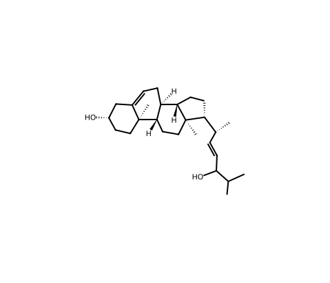 CC(C)C(O)C=C[C@@H](C)[C@H]1CC[C@H]2[C@@H]3CC=C4C[C@@H](O)CC[C@]4(C)[C@H]3CC[C@]12C